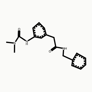 CN(C)C(=O)Nc1cccc(CC(=O)NCc2ccccc2)c1